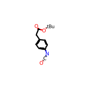 CC(C)(C)OC(=O)Cc1ccc(N=C=O)cc1